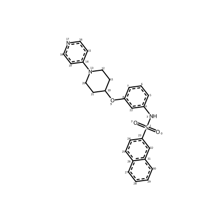 O=S(=O)(Nc1cccc(OC2CCN(c3ccncc3)CC2)c1)c1ccc2ccccc2c1